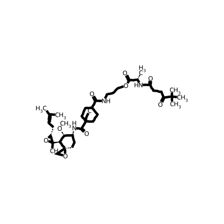 CO[C@H]1[C@H](C2(C)O[C@@H]2CC=C(C)C)[C@]2(CC[C@H]1NC(=O)C13CCC(C(=O)NCCCOC(=O)[C@H](C)NC(=O)CCC(=O)C(C)(C)C)(CC1)CC3)CO2